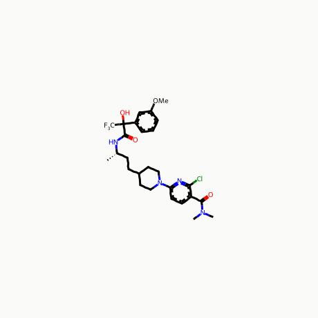 COc1cccc(C(O)(C(=O)N[C@@H](C)CCC2CCN(c3ccc(C(=O)N(C)C)c(Cl)n3)CC2)C(F)(F)F)c1